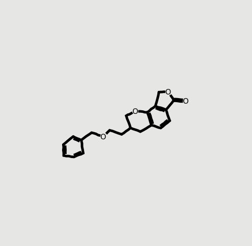 O=C1OCc2c1ccc1c2OCC(CCOCc2ccccc2)C1